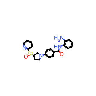 Nc1ccccc1NC(=O)c1ccc(N2CC[C@H]([S+]([O-])c3ccccn3)C2)cc1